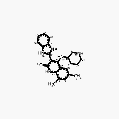 Cc1cc(C)c2[nH]c(=O)c(-c3nc4ccccc4[nH]3)c(NC3CCCNC3)c2c1